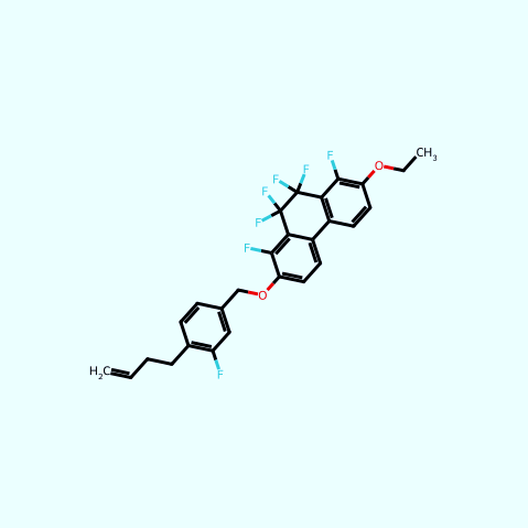 C=CCCc1ccc(COc2ccc3c(c2F)C(F)(F)C(F)(F)c2c-3ccc(OCC)c2F)cc1F